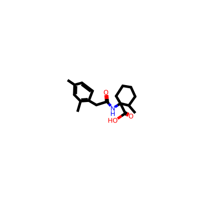 Cc1ccc(CC(=O)NC2(C(=O)O)CCCCC2C)c(C)c1